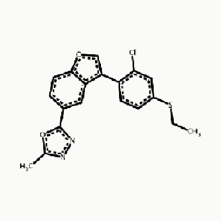 CCSc1ccc(-c2coc3ccc(-c4nnc(C)o4)cc23)c(Cl)c1